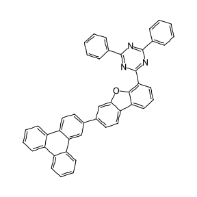 c1ccc(-c2nc(-c3ccccc3)nc(-c3cccc4c3oc3cc(-c5ccc6c7ccccc7c7ccccc7c6c5)ccc34)n2)cc1